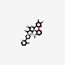 COc1cccc(OC)c1-n1c(-c2ccc(F)c(C)c2)nc(=O)c(C(=O)N2CCC(c3ncccc3F)C2)c1O